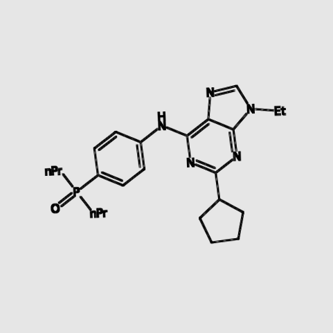 CCCP(=O)(CCC)c1ccc(Nc2nc(C3CCCC3)nc3c2ncn3CC)cc1